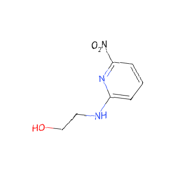 O=[N+]([O-])c1cccc(NCCO)n1